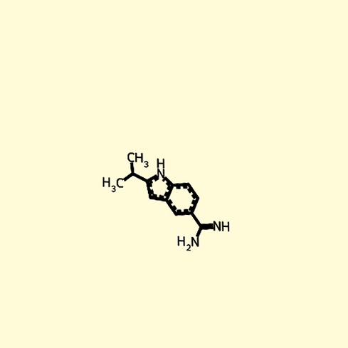 CC(C)c1cc2cc(C(=N)N)ccc2[nH]1